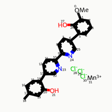 COc1cccc(-c2ccc(-c3ccc(-c4ccc(C)cc4O)cn3)nc2)c1O.[Cl-].[Cl-].[Cl-].[Mn+3]